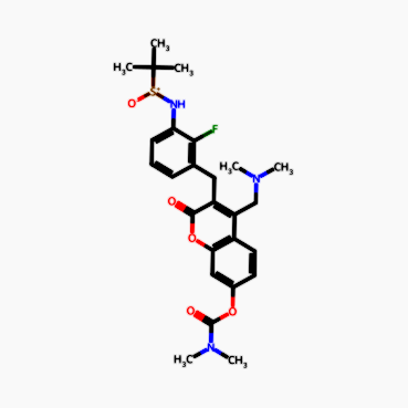 CN(C)Cc1c(Cc2cccc(N[S+]([O-])C(C)(C)C)c2F)c(=O)oc2cc(OC(=O)N(C)C)ccc12